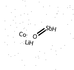 [Co].[LiH].[O]=[SbH]